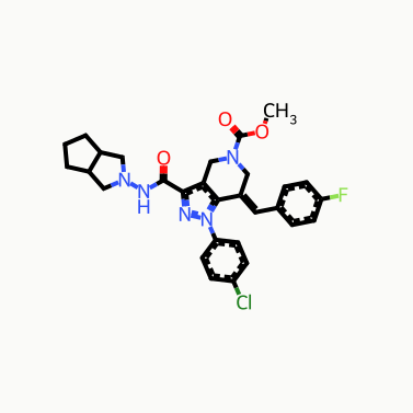 COC(=O)N1C/C(=C\c2ccc(F)cc2)c2c(c(C(=O)NN3CC4CCCC4C3)nn2-c2ccc(Cl)cc2)C1